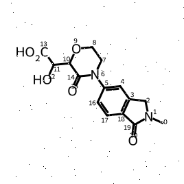 CN1Cc2cc(N3CCOC(C(O)C(=O)O)C3=O)ccc2C1=O